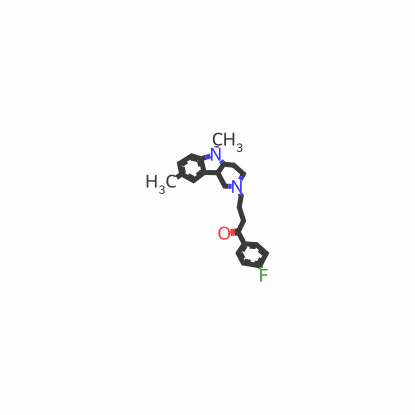 Cc1ccc2c(c1)C1CN(CCCC(=O)c3ccc(F)cc3)CCC1N2C